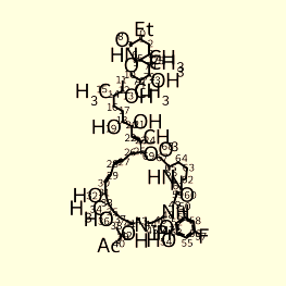 CC[C@H]1C[C@H](C)[C@@]2(NC1=O)O[C@@H](C[C@H](O)[C@@H](C)CCC(O)C(O)/C=C(\C)[C@@H]1C/C=C/C=C/[C@H](O)[C@H](C)[C@@H](O)[C@@H](CCC(C)=O)C(=O)N[C@@H](C(C)C)C(=O)N[C@@H](Cc3cc(O)cc(F)c3)C(=O)N3CCCC(N3)C(=O)O1)[C@H](C)[C@H](O)[C@@H]2C